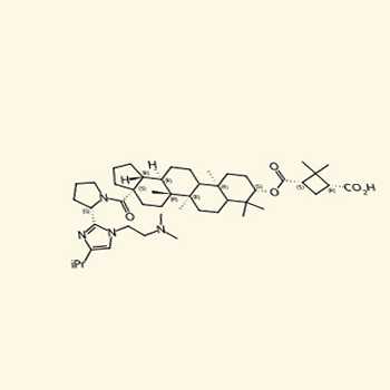 CC(C)c1cn(CCN(C)C)c([C@@H]2CCCN2C(=O)[C@]23CCC[C@@H]2[C@H]2CCC4[C@@]5(C)CC[C@H](OC(=O)[C@H]6C[C@@H](C(=O)O)C6(C)C)C(C)(C)C5CC[C@@]4(C)[C@]2(C)CC3)n1